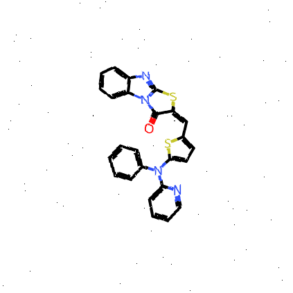 O=c1/c(=C\c2ccc(N(c3ccccc3)c3ccccn3)s2)sc2nc3ccccc3n12